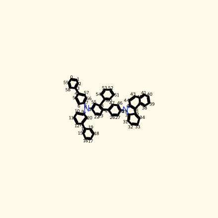 c1ccc(-c2ccc(N(c3cccc(-c4ccccc4)c3)c3ccc(-c4ccc(-n5c6ccccc6c6c7ccccc7ccc65)cc4)c(-c4ccccc4)c3)cc2)cc1